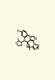 CC1OCCC1n1c(=O)c2c(-n3nncc3C(C)(C)C)ncn2c2ccc(F)cc21